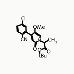 COc1cn(C(C)C(=O)OC(C)(C)C)c(=O)cc1-c1cc(Cl)ccc1C#N